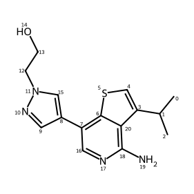 CC(C)c1csc2c(-c3cnn(CCO)c3)cnc(N)c12